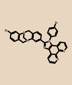 Brc1ccc(-n2c(-c3ccc4c(c3)N3Cc5ccc(Br)cc5N(C4)C3)nc3c4cccnc4c4ncccc4c32)cc1